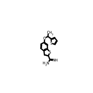 CC(Oc1ccc2c(c1)SC(C(=N)N)C2)c1cccs1